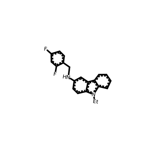 CCn1c2ccccc2c2cc(NCc3ccc(F)cc3F)ccc21